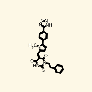 Cn1c(C=C2C(=O)NC(=S)N(CCc3ccccc3)C2=O)ccc1-c1ccc(-c2nnn[nH]2)cc1